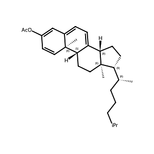 CC(=O)OC1=CC2=CC=C3[C@@H]4CC[C@H]([C@H](C)CCCC(C)C)[C@@]4(C)CC[C@@H]3[C@@]2(C)C=C1